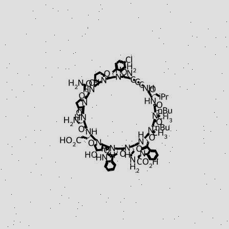 CCCC[C@H]1C(=O)N(C)[C@@H](CCCC)C(=O)N[C@@H](CC(C)C)C(=O)NCCC[C@@H](N)C(=O)N[C@@H](Cc2ccc(Cl)cc2)C(=O)N2CCCC[C@H]2C(=O)N[C@@H](CC(N)=O)C(=O)N2CCC[C@H]2C(=O)N[C@@H](CN)C(=O)N[C@@H](CCC(=O)O)C(=O)N2C[C@H](O)C[C@H]2C(=O)N[C@@H](Cc2c[nH]c3ccccc23)C(=O)N[C@@H](CCN)C(=O)N[C@@H](Cc2cn(CC(=O)O)c3ccccc23)C(=O)N1C